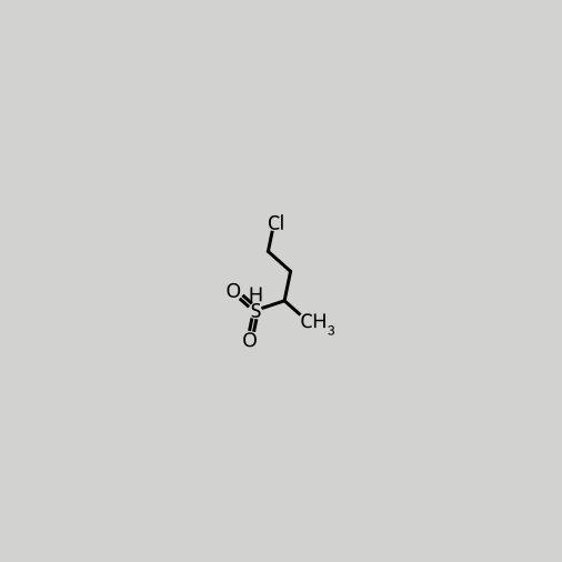 CC(CCCl)[SH](=O)=O